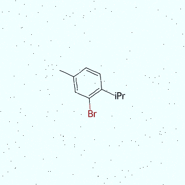 Cc1ccc(C(C)C)c(Br)c1